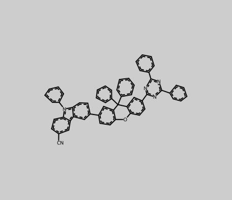 N#Cc1ccc2c(c1)c1cc(-c3ccc4c(c3)C(c3ccccc3)(c3ccccc3)c3cc(-c5nc(-c6ccccc6)nc(-c6ccccc6)n5)ccc3O4)ccc1n2-c1ccccc1